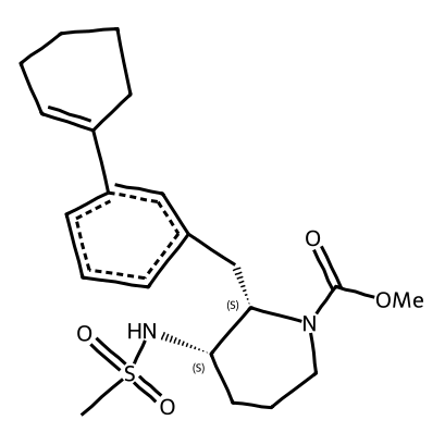 COC(=O)N1CCC[C@H](NS(C)(=O)=O)[C@@H]1Cc1cccc(C2=CCCCC2)c1